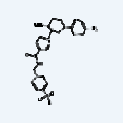 CCS(=O)(=O)c1ccc(CNC(=O)c2ccc(N3CC(c4ccc(C(F)(F)F)cc4)CC[C@H]3C=O)cc2)cc1